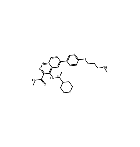 CNCCCOc1ccc(-c2ccc3nnc(C(=O)NC)c(N[C@@H](C)C4CCOCC4)c3c2)cn1